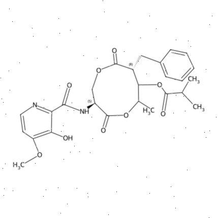 COc1ccnc(C(=O)N[C@H]2COC(=O)[C@H](Cc3ccccc3)C(OC(=O)C(C)C)C(C)OC2=O)c1O